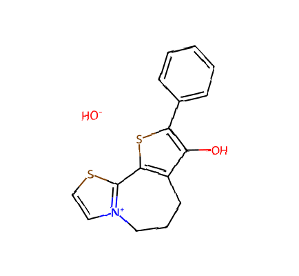 Oc1c(-c2ccccc2)sc2c1CCC[n+]1ccsc1-2.[OH-]